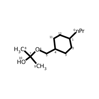 CCCC1CCC(COC(C)(C)O)CC1